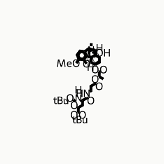 COc1ccc2c3c1O[C@H]1C(OC(=O)C(C)OC(=O)CCNC(=O)C(CCC(=O)OC(C)(C)C)NC(=O)OC(C)(C)C)=CC[C@@]4(O)[C@@H](C2)N(C)CC[C@]314